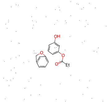 CCC(=O)Oc1cccc(O)c1.c1cc2cc(c1)OC2